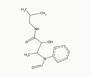 CC(C)CNC(=O)C(O)C(C)N(C=O)c1ccccc1